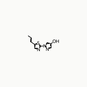 C/C=C/c1cnc(-n2cc(O)cn2)s1